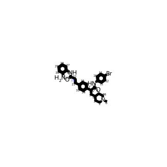 CN1CCC(CC(C(=O)Nc2ccc(Br)cc2)c2ccc(/C=C/C(=O)Nc3ccccc3N)cc2)CC1